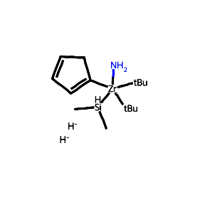 C[SiH](C)[Zr]([NH2])([C]1=CC=CC1)([C](C)(C)C)[C](C)(C)C.[H-].[H-]